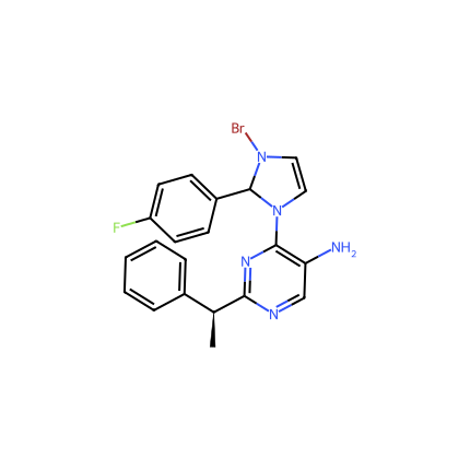 C[C@@H](c1ccccc1)c1ncc(N)c(N2C=CN(Br)C2c2ccc(F)cc2)n1